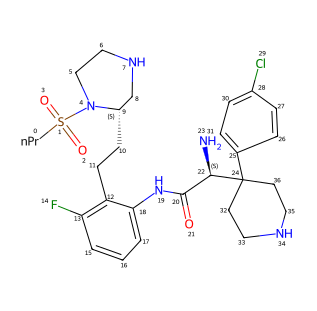 CCCS(=O)(=O)N1CCNC[C@@H]1CCc1c(F)cccc1NC(=O)[C@@H](N)C1(c2ccc(Cl)cc2)CCNCC1